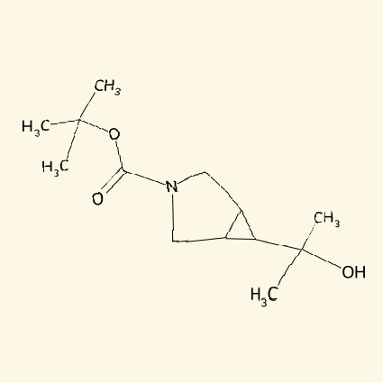 CC(C)(C)OC(=O)N1CC2C(C1)C2C(C)(C)O